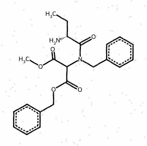 CC[C@@H](N)C(=O)N(Cc1ccccc1)C(C(=O)OC)C(=O)OCc1ccccc1